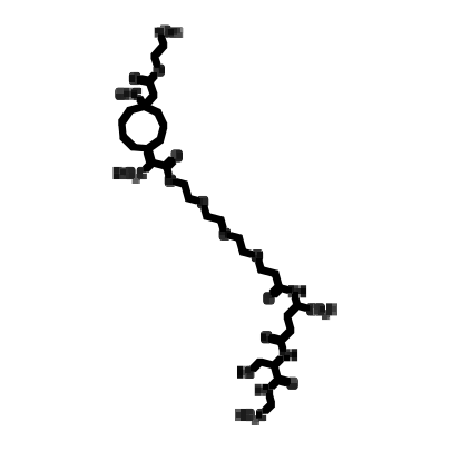 CCCCCCCCCCCCOC(=O)CC1(C=O)CCCC/C(=C(\C(=O)OCC)C(=O)OCCOCCOCCOCCC(=O)NC(CCC(=O)NC(CS)C(=O)NCC(=O)O)C(=O)O)CCC1